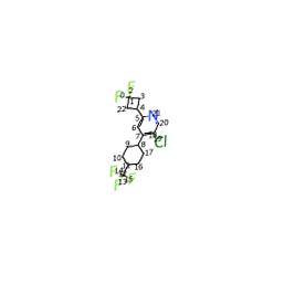 FC1(F)CC(c2cc(C3CCC(C(F)(F)F)CC3)c(Cl)cn2)C1